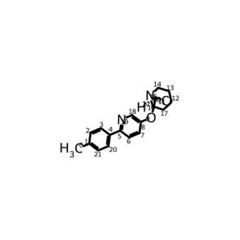 Cc1ccc(-c2ccc(O[C@@H]3CC4CCN3CC4)cn2)cc1